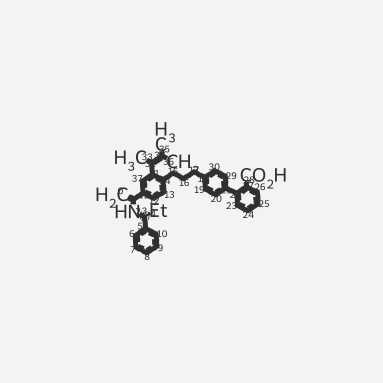 C=C(N[C@@H](CC)c1ccccc1)c1ccc(CCCc2ccc(-c3ccccc3C(=O)O)cc2)c(C(C)=C(C)C)c1